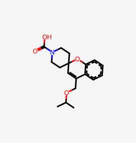 CC(C)OCC1=CC2(CCN(C(=O)O)CC2)Oc2ccccc21